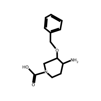 NC1CCN(C(=O)O)CC1OCc1ccccc1